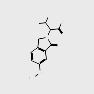 COc1ccc2c(c1)C(=O)N(C(C(=O)O)C(C)C)C2